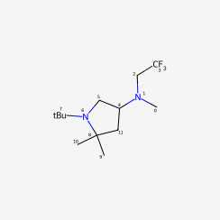 CN(CC(F)(F)F)C1CN(C(C)(C)C)C(C)(C)C1